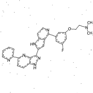 CN(C)CCOc1cc(F)cc(-c2nccc3[nH]c(-c4n[nH]c5ccc(-c6ccccn6)nc45)cc23)c1